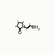 BC=CN1CCCC1=O